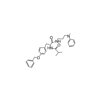 CC(C)C(=O)NC(Cc1ccc(OCc2ccccc2)cc1)C(=O)NCCCN(C)c1ccccc1